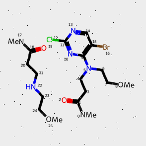 CNC(=O)CCN(CCOC)c1nc(Cl)ncc1Br.CNC(=O)CCNCCOC